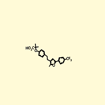 Cc1oc(-c2ccc(C(F)(F)F)cc2)cc1CCc1ccc(OC(C)(C)C(=O)O)cc1